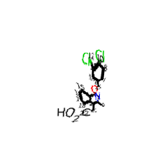 Cc1nc(OCc2ccc(Cl)c(Cl)c2)c2ccccc2c1CC(=O)O